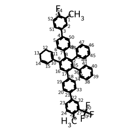 Cc1cc(-c2ccc(-c3c(C4=CCCC=C4)cc(-c4ccc(-c5ccc(C)c(C(F)(F)F)c5)cc4)c(-c4ccccc4)c3-c3ccccc3)cc2)ccc1F